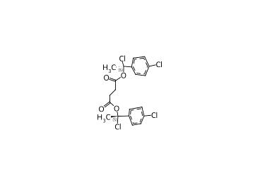 C[C@@](Cl)(OC(=O)CCC(=O)O[C@@](C)(Cl)c1ccc(Cl)cc1)c1ccc(Cl)cc1